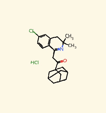 CC1(C)Cc2cc(Cl)ccc2C(CC(=O)C23CC4CC(CC(C4)C2)C3)=N1.Cl